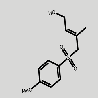 COc1ccc(S(=O)(=O)CC(C)=CCO)cc1